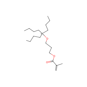 C=C(C)C(=O)OCCCO[Si](CCCC)(CCCC)CCCC